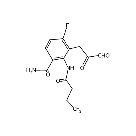 NC(=O)c1ccc(F)c(CC(=O)C=O)c1NC(=O)CCC(F)(F)F